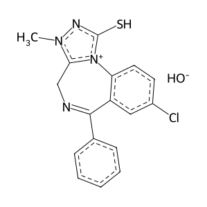 Cn1nc(S)[n+]2c1CN=C(c1ccccc1)c1cc(Cl)ccc1-2.[OH-]